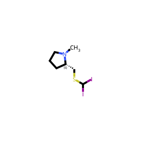 CN1CCC[C@H]1CSC(I)I